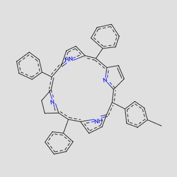 Cc1ccc(-c2c3nc(c(-c4ccccc4)c4ccc([nH]4)c(-c4ccccc4)c4nc(c(-c5ccccc5)c5ccc2[nH]5)CC4)C=C3)cc1